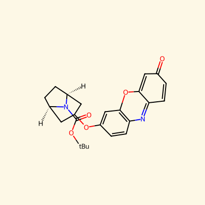 CC(C)(C)OC(=O)N1[C@@H]2CC[C@H]1CC(Oc1ccc3nc4ccc(=O)cc-4oc3c1)C2